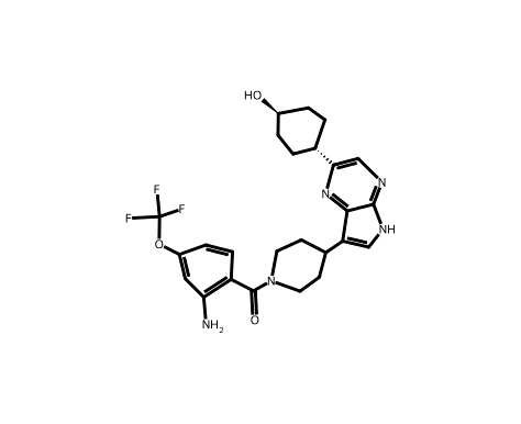 Nc1cc(OC(F)(F)F)ccc1C(=O)N1CCC(c2c[nH]c3ncc([C@H]4CC[C@H](O)CC4)nc23)CC1